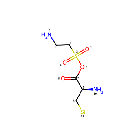 NCCS(=O)(=O)OC(=O)[C@@H](N)CS